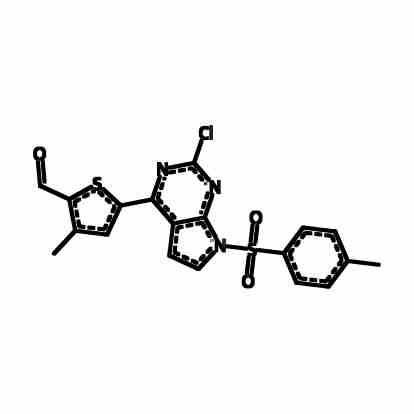 Cc1ccc(S(=O)(=O)n2ccc3c(-c4cc(C)c(C=O)s4)nc(Cl)nc32)cc1